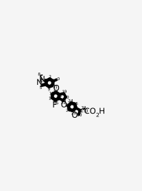 Cc1cc2c(cnn2C)cc1Oc1ccc(F)c2c1CC[C@H]2Oc1ccc2c(c1)OC[C@H]2CC(=O)O